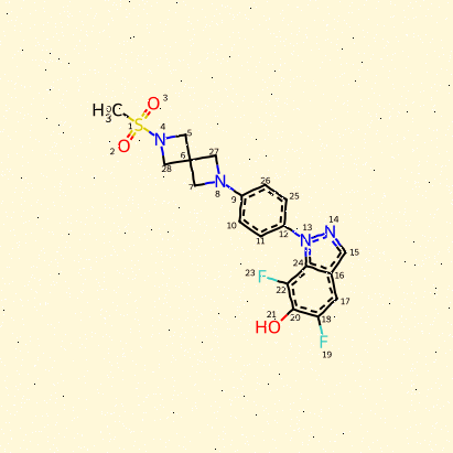 CS(=O)(=O)N1CC2(CN(c3ccc(-n4ncc5cc(F)c(O)c(F)c54)cc3)C2)C1